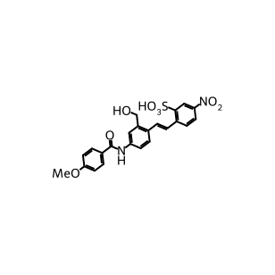 COc1ccc(C(=O)Nc2ccc(/C=C/c3ccc([N+](=O)[O-])cc3S(=O)(=O)O)c(CO)c2)cc1